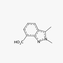 Cc1c2cccc(C(=O)O)c2nn1C